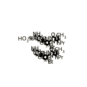 CCCc1nn(C)c2c(=O)[nH]c(-c3cc(S(=O)(=O)N4CCN(CN)CC4)ccc3OCC)nc12.CCCc1nn(C)c2c(=O)[nH]c(-c3cc(S(=O)(=O)N4CCN(CN)CC4)ccc3OCC)nc12.O=S(=O)(O)O